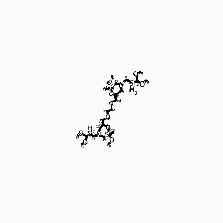 COC(OC)[SiH2]CN1CC(COCCOCC2CN(C[SiH2]C(OC)OC)C[Si](C)(OC)O2)O[Si](C)(OC)C1